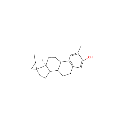 Cc1cc2c(cc1O)CCC1C2CC[C@@]2(C)C1CCC21CC1C